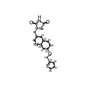 O=C1NC(=O)C(Cc2cnc3cc(OCc4cccs4)ccc3c2)S1